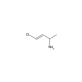 CC(N)C=CCl